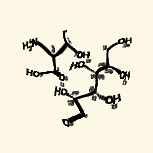 CC(O)C(N)C(=O)O.O=C[C@H](O)[C@@H](O)[C@H](O)[C@H](O)CO